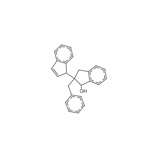 OC1c2ccccc2CC1(Cc1ccccc1)C1C=Cc2ccccc21